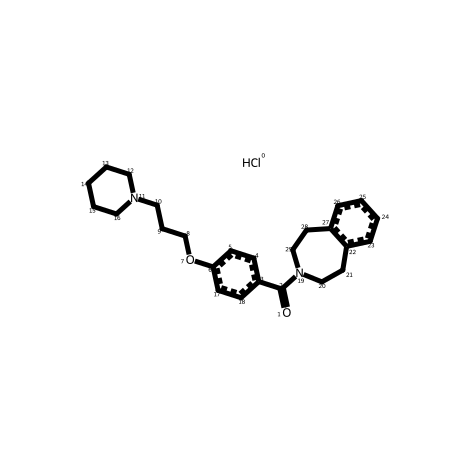 Cl.O=C(c1ccc(OCCCN2CCCCC2)cc1)N1CCc2ccccc2CC1